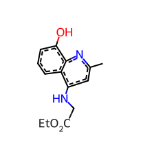 CCOC(=O)CNc1cc(C)nc2c(O)cccc12